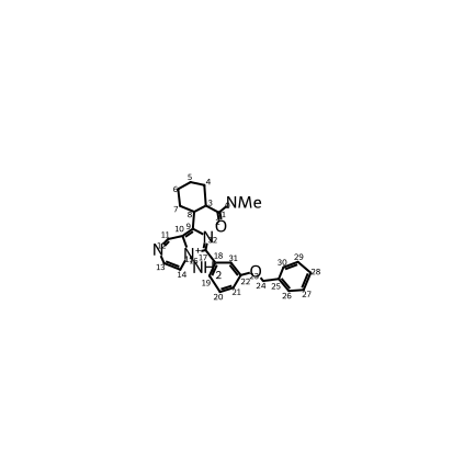 CNC(=O)C1CCCCC1C1=C2C=NC=C[N+]2(N)C(c2cccc(OCc3ccccc3)c2)=N1